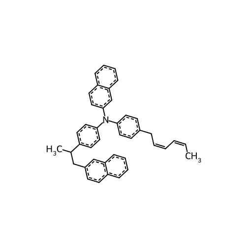 C/C=C\C=C/Cc1ccc(N(c2ccc(C(C)Cc3ccc4ccccc4c3)cc2)c2ccc3ccccc3c2)cc1